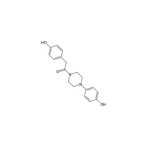 O=C(Cc1ccc(O)cc1)N1CCN(c2ccc(O)cc2)CC1